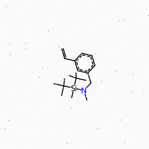 C=Cc1cccc(CN(C)[Si](C)(C(C)(C)C)C(C)(C)C)c1